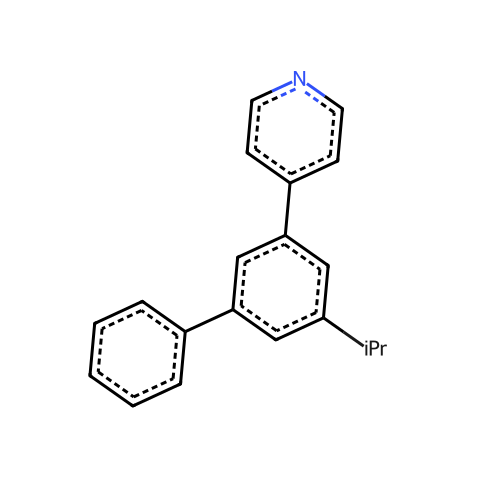 CC(C)c1cc(-c2ccccc2)cc(-c2ccncc2)c1